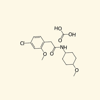 COc1cc(Cl)ccc1CC(=O)NC1CCC(OC)CC1.O=C(O)O